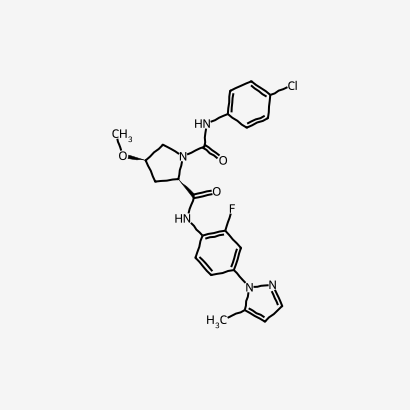 CO[C@@H]1C[C@H](C(=O)Nc2ccc(-n3nccc3C)cc2F)N(C(=O)Nc2ccc(Cl)cc2)C1